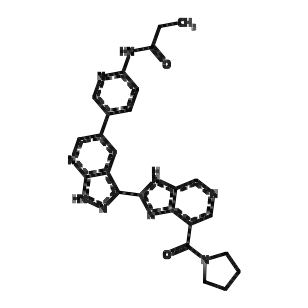 CCC(=O)Nc1ccc(-c2cnc3[nH]nc(-c4nc5c(C(=O)N6CCCC6)cncc5[nH]4)c3c2)cn1